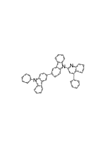 c1ccc(-c2cc(-n3c4ccccc4c4cc(-c5ccc6c(c5)c5ccccc5n6-c5ccccc5)ccc43)nc3ccccc23)cc1